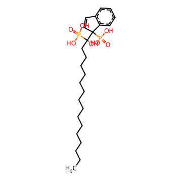 CCCCCCCCCCCCCCCC(O)(C1(P(=O)(O)O)C=Cc2ccccc21)P(=O)(O)O